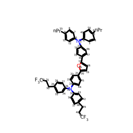 CCCc1ccc(N(c2ccc(CCC)cc2)c2ccc(-c3ccc(-c4ccc(N(c5ccc(CCC(F)(F)F)cc5)c5ccc(CCC(F)(F)F)cc5)cc4)o3)cc2)cc1